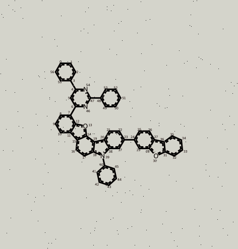 c1ccc(-c2cc(-c3cccc4c3oc3c4ccc4c3c3ccc(-c5ccc6c(c5)oc5ccccc56)cc3n4-c3ccccc3)nc(-c3ccccc3)n2)cc1